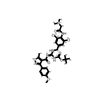 COc1ccc(-c2noc(C)c2C(=O)/N=C(/NCc2cc(Cl)c(NC(=O)CN(C)C)c(Cl)c2)NC(=O)OC(C)(C)C)cc1